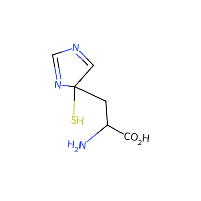 NC(CC1(S)C=NC=N1)C(=O)O